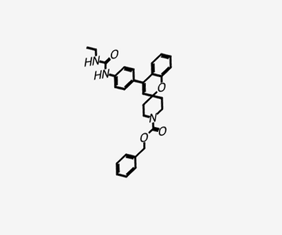 CCNC(=O)Nc1ccc(C2=CC3(CCN(C(=O)OCc4ccccc4)CC3)Oc3ccccc32)cc1